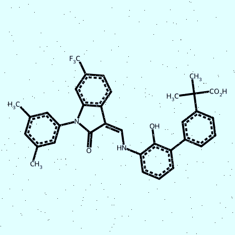 Cc1cc(C)cc(N2C(=O)/C(=C\Nc3cccc(-c4cccc(C(C)(C)C(=O)O)c4)c3O)c3ccc(C(F)(F)F)cc32)c1